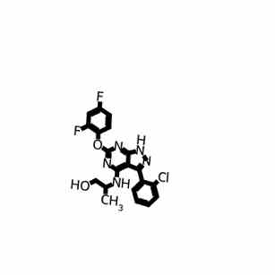 CC(CO)Nc1nc(Oc2ccc(F)cc2F)nc2[nH]nc(-c3ccccc3Cl)c12